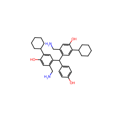 NCc1cc(O)c(C2CCCCC2)cc1C(c1ccc(O)cc1)c1cc(C2CCCCC2)c(O)cc1CN